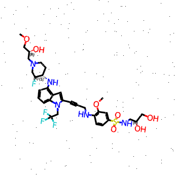 COC[C@H](O)CN1CC[C@H](Nc2cccc3c2cc(C#CCNc2ccc(S(=O)(=O)NC[C@@H](O)CO)cc2OC)n3CC(F)(F)F)[C@H](F)C1